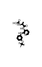 CC(NC(=O)O)C(=O)Nc1cccnc1Nc1cccc(OC(F)(F)F)c1